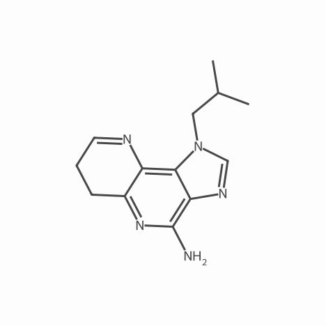 CC(C)Cn1cnc2c(N)nc3c(c21)N=CCC3